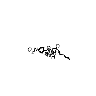 [2H]C([2H])([2H])N(CC(=O)OCCCCC=C)S(=O)(=O)c1ccc([N+](=O)[O-])cc1